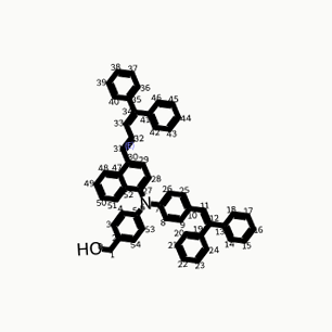 OCc1ccc(N(c2ccc(C=C(c3ccccc3)c3ccccc3)cc2)c2ccc(/C=C/C=C(c3ccccc3)c3ccccc3)c3ccccc23)cc1